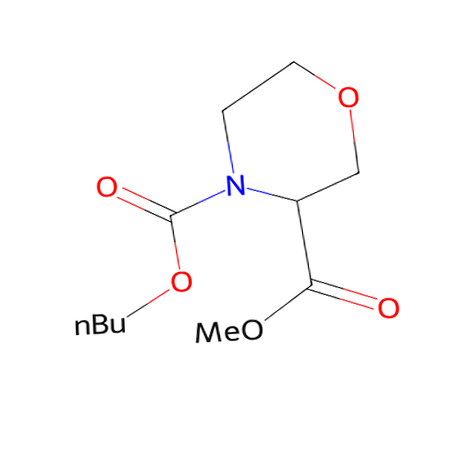 CCCCOC(=O)N1CCOCC1C(=O)OC